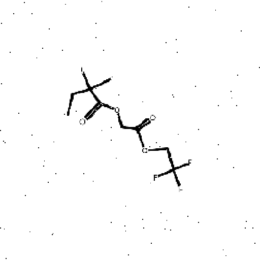 CCC(C)(I)C(=O)OCC(=O)OCC(F)(F)F